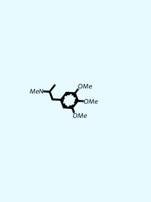 CNC(C)Cc1cc(OC)c(OC)c(OC)c1